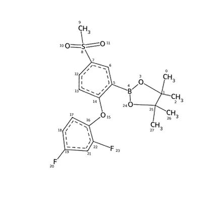 CC1(C)OB(c2cc(S(C)(=O)=O)ccc2Oc2ccc(F)cc2F)OC1(C)C